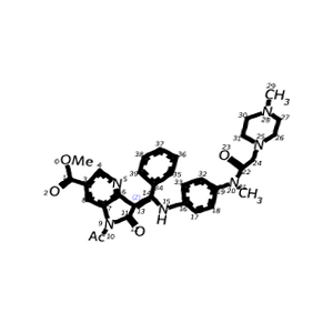 COC(=O)c1cnc2c(c1)N(C(C)=O)C(=O)/C2=C(\Nc1ccc(N(C)C(=O)CN2CCN(C)CC2)cc1)c1ccccc1